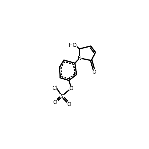 O=C1C=CC(O)N1c1cccc(OS(=O)(=O)Cl)c1